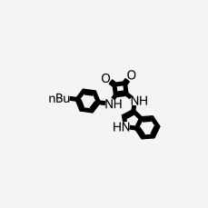 CCCCc1ccc(Nc2c(Nc3c[nH]c4ccccc34)c(=O)c2=O)cc1